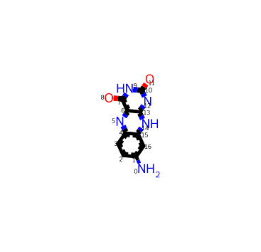 Nc1ccc2nc3c(=O)[nH]c(=O)nc-3[nH]c2c1